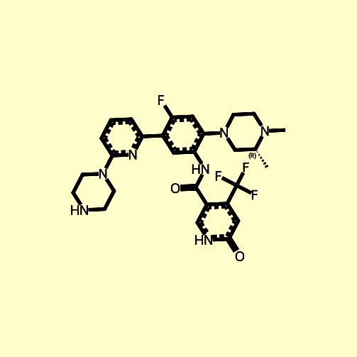 C[C@@H]1CN(c2cc(F)c(-c3cccc(N4CCNCC4)n3)cc2NC(=O)c2c[nH]c(=O)cc2C(F)(F)F)CCN1C